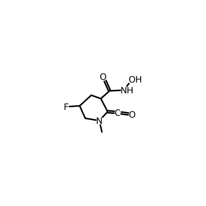 CN1CC(F)CC(C(=O)NO)C1=C=O